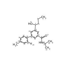 CCCC(O)c1cc(C(=O)NC(C)C)cc(-c2ccc(C)cc2F)c1